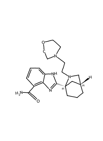 NC(=O)c1cccc2[nH]c([C@]34CCC[C@@H](CN3CCN3CCOCC3)C4)nc12